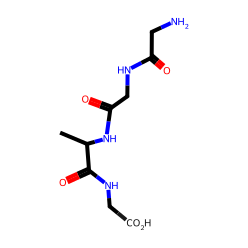 CC(NC(=O)CNC(=O)CN)C(=O)NCC(=O)O